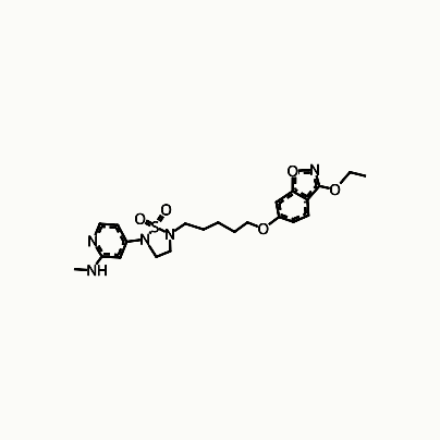 CCOc1noc2cc(OCCCCCN3CCN(c4ccnc(NC)c4)S3(=O)=O)ccc12